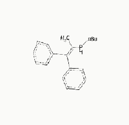 CCCCPC(C)=C(c1ccccc1)c1ccccc1